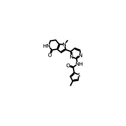 Cc1csc(C(=O)Nc2nccc(-c3cc4c(n3C)CCNC4=O)n2)c1